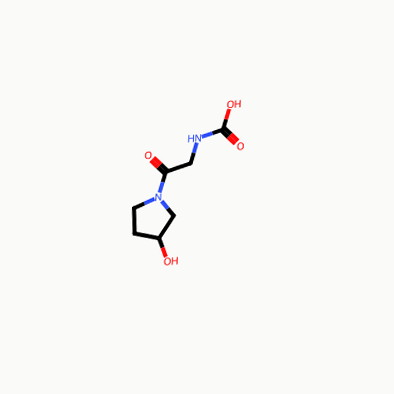 O=C(O)NCC(=O)N1CCC(O)C1